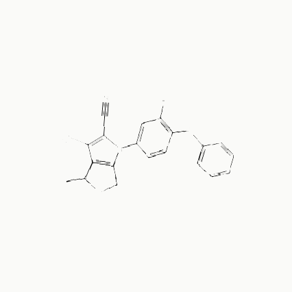 CC1OCc2c1c(N)c(C#N)n2-c1ccc(Oc2ccccc2)c(F)c1